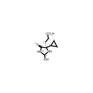 O=C(O)CC[C@]1(C2CC2)NC(O)NC1=O